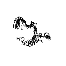 Cc1c(-c2ccc(-c3ccc4c(c3)N(C(=O)Nc3nc5ccccc5s3)CCC4)nc2C(=O)O)cnn1CC12CC(OCCN(C)C(=O)OC/C=C/c3ccc(O[C@@H]4O[C@H](C(=O)O)[C@@H](O)[C@H](O)[C@H]4O)c(NC(=O)CCNC(=O)CCCCCN4C(=O)C=CC4=O)c3)C3CCC(C)(C1)CC3(C)C2